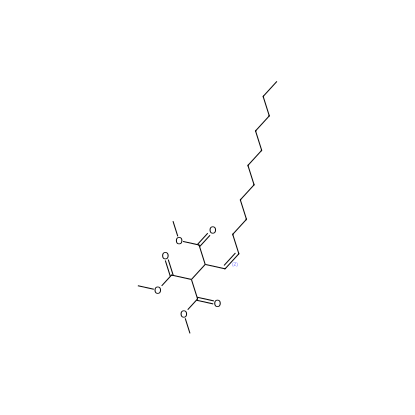 CCCCCCCCCC/C=C\C(C(=O)OC)C(C(=O)OC)C(=O)OC